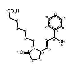 O=C(O)CCCCCCN1C(=O)CC[C@@H]1C=CC(O)c1ccccc1